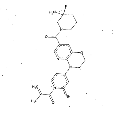 C=C(C)C(=O)n1ccc(N2CCOc3cc(C(=O)N4CCCC(N)(F)C4)cnc32)cc1=N